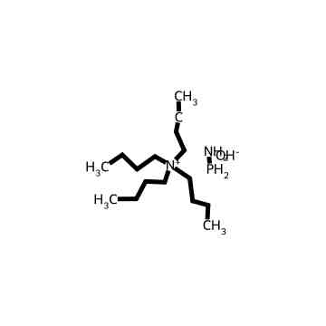 CCCC[N+](CCCC)(CCCC)CCCC.NP.[OH-]